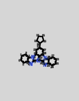 c1ccc2c(c1)nc1n2c2cc(C3CCCC3)cc3c2n1c1nc2ccccc2n31